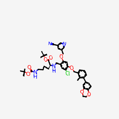 Cc1c(COc2cc(OCc3cncc(C#N)c3)c(CN[C@@H](CCCCNC(=O)OC(C)(C)C)C(=O)OC(C)(C)C)cc2Cl)cccc1-c1ccc2c(c1)OCCO2